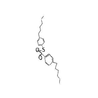 CCCCCCc1ccc(SS(=O)(=O)c2ccc(CCCCCC)cc2)cc1